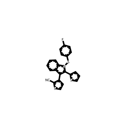 N#Cc1sccc1-c1c(-c2cccs2)n(Sc2ccc(F)cc2)c2ccccc12